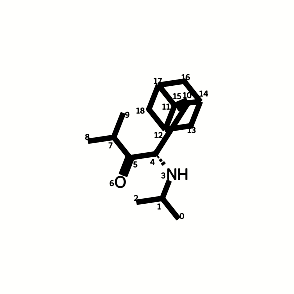 CC(C)N[C@H](C(=O)C(C)C)C1=C2C3CC(C1)CC2C3